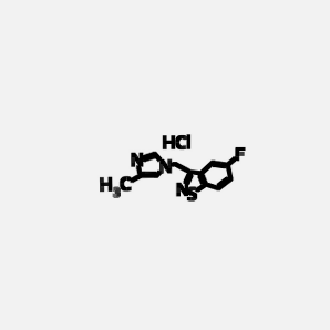 Cc1cn(Cc2nsc3ccc(F)cc23)cn1.Cl